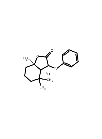 CC1(C)CCC[C@@]2(C)OC(=O)C([Se]c3ccccc3)[C@@H]12